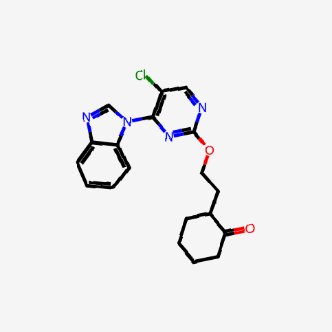 O=C1CCCCC1CCOc1ncc(Cl)c(-n2cnc3ccccc32)n1